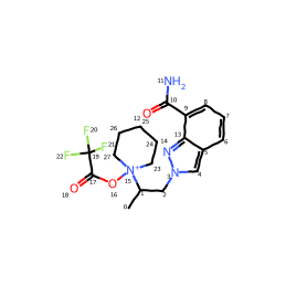 CC(Cn1cc2cccc(C(N)=O)c2n1)[N+]1(OC(=O)C(F)(F)F)CCCCC1